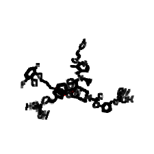 COCCOc1nccc(CN(C(=O)C2=C(c3ccc(CCCOc4c(F)ccc(F)c4Cl)cc3)CC3CN(C(=O)Oc4cccc(CON(O)O)c4)CC2N3C(=O)Oc2cccc(CON(O)O)c2)C2CC2)c1C